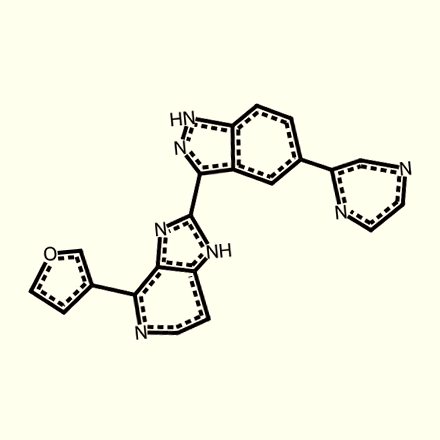 c1cnc(-c2ccc3[nH]nc(-c4nc5c(-c6ccoc6)nccc5[nH]4)c3c2)cn1